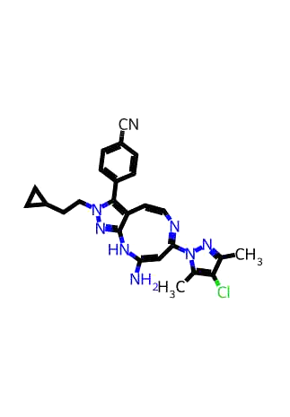 Cc1nn(-c2cc(N)[nH]c3nn(CCC4CC4)c(-c4ccc(C#N)cc4)c3ccn2)c(C)c1Cl